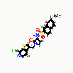 COc1ccc2ccc(S(=O)(=O)N[C@H]3CCN(Cc4csc5c(Cl)nccc45)C3=O)cc2c1